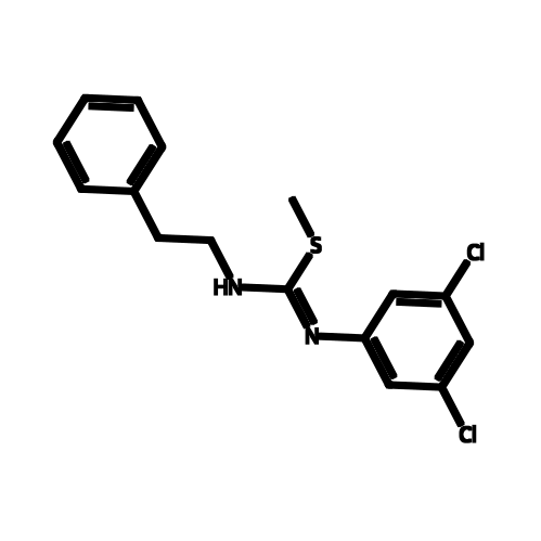 CSC(=Nc1cc(Cl)cc(Cl)c1)NCCc1ccccc1